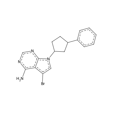 Nc1ncnc2c1c(Br)cn2C1CCC(c2ccccc2)C1